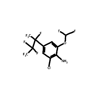 Nc1c(Cl)cc(C(F)(C(F)(F)F)C(F)(F)C(F)(F)F)cc1OC(F)F